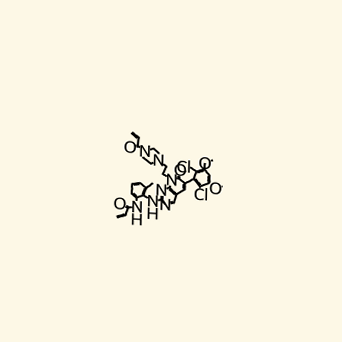 C=CC(=O)Nc1cccc(C)c1Nc1ncc2cc(-c3c(Cl)c(OC)cc(OC)c3Cl)c(=O)n(CCN3CCN(C(=O)C=C)CC3)c2n1